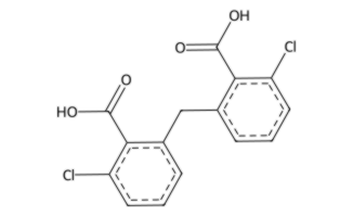 O=C(O)c1c(Cl)cccc1Cc1cccc(Cl)c1C(=O)O